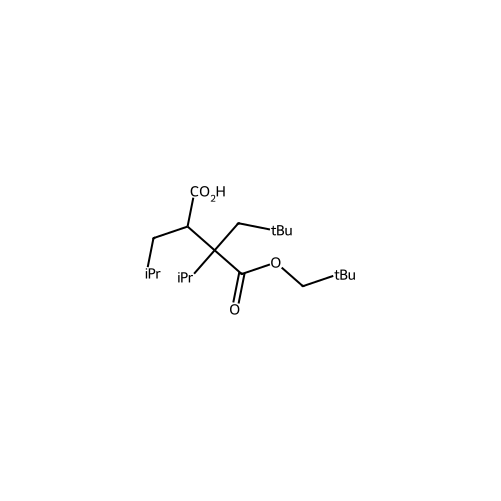 CC(C)CC(C(=O)O)C(CC(C)(C)C)(C(=O)OCC(C)(C)C)C(C)C